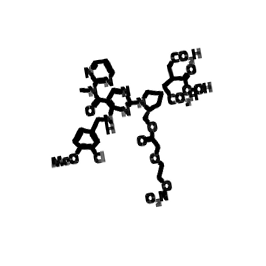 COc1ccc(CNc2nc(N3CCC[C@H]3COC(=O)COCCO[N+](=O)[O-])ncc2C(=O)N(C)c2ncccn2)cc1Cl.O=C(O)CC(CC(=O)O)C(=O)OO